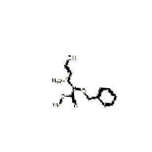 C[C@H](C=CO)N(OCc1ccccc1)C(=O)OC(C)(C)C